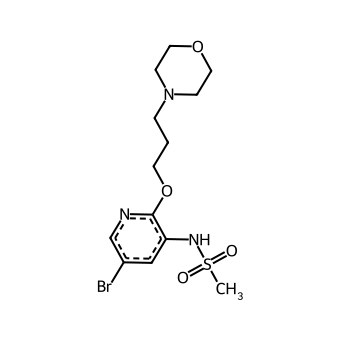 CS(=O)(=O)Nc1cc(Br)cnc1OCCCN1CCOCC1